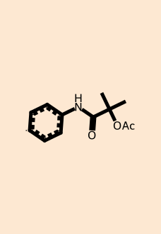 CC(=O)OC(C)(C)C(=O)Nc1cc[c]cc1